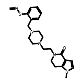 C=NSc1ccccc1CN1CCN(CCN2CCc3c(ccn3C)C2=O)CC1